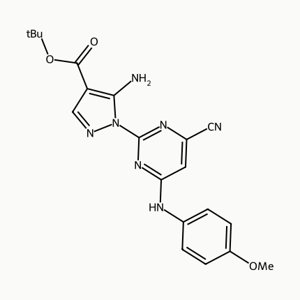 COc1ccc(Nc2cc(C#N)nc(-n3ncc(C(=O)OC(C)(C)C)c3N)n2)cc1